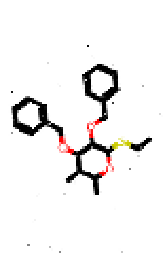 CCSC1OC(C)C(C)C(OCc2ccccc2)C1OCc1ccccc1